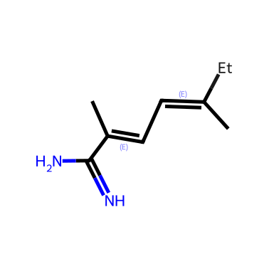 CC/C(C)=C/C=C(\C)C(=N)N